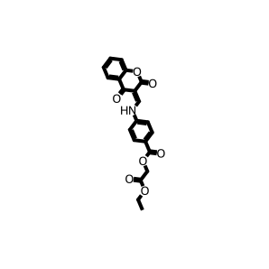 CCOC(=O)COC(=O)c1ccc(NC=C2C(=O)Oc3ccccc3C2=O)cc1